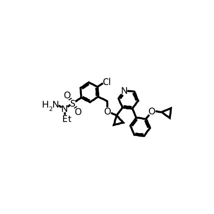 CCN(N)S(=O)(=O)c1ccc(Cl)c(COC2(c3cnccc3-c3ccccc3OC3CC3)CC2)c1